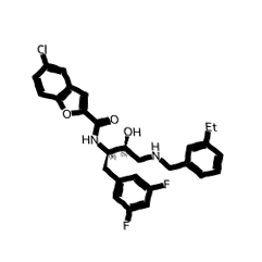 CCc1cccc(CNC[C@H](O)[C@@H](Cc2cc(F)cc(F)c2)NC(=O)c2cc3cc(Cl)ccc3o2)c1